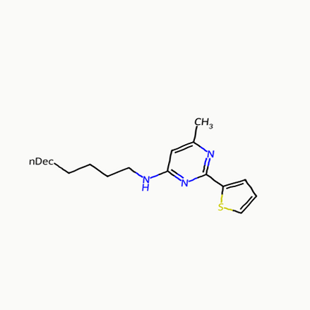 CCCCCCCCCCCCCCNc1cc(C)nc(-c2cccs2)n1